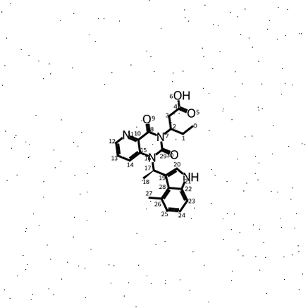 CCC(CC(=O)O)n1c(=O)c2ncccc2n([C@H](C)c2c[nH]c3cccc(C)c23)c1=O